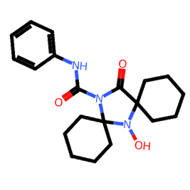 O=C(Nc1ccccc1)N1C(=O)C2(CCCCC2)N(O)C12CCCCC2